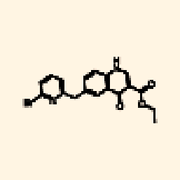 CCOC(=O)c1c[nH]c2ccc(Cc3cccc(Br)n3)cc2c1=O